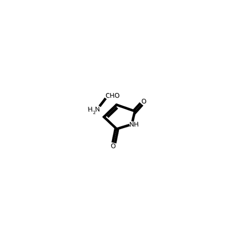 NC=O.O=C1C=CC(=O)N1